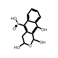 O=S(O)c1c2c(c(O)c3ccccc13)C(O)OC(O)C2